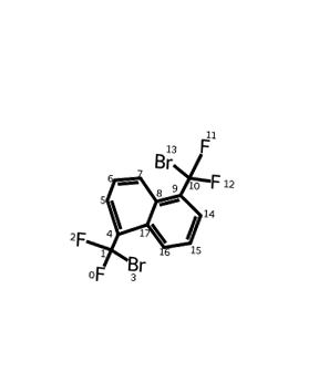 FC(F)(Br)c1cccc2c(C(F)(F)Br)cccc12